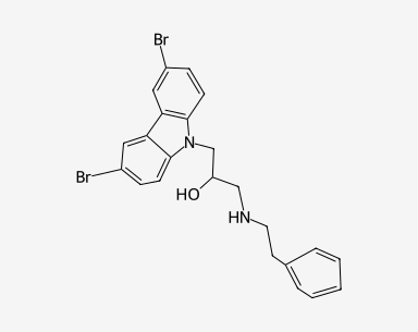 OC(CNCCc1ccccc1)Cn1c2ccc(Br)cc2c2cc(Br)ccc21